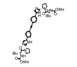 CC[C@@H](C)[C@H](NC(=O)OC)C(=O)N1CCC[C@H]1c1ncc(-c2ccc(C#Cc3ccc(-c4cnc([C@@H]5CCCN5C(=O)[C@@H](NC(=O)OC)[C@H](C)CC)[nH]4)cc3)cc2)[nH]1